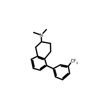 CN(C)C1CCc2c(cccc2-c2cccc(C(F)(F)F)c2)C1